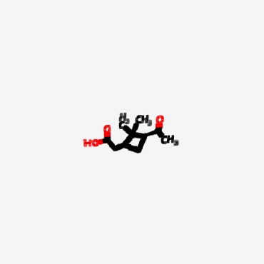 CC(=O)[C@H]1CC(CC(=O)O)C1(C)C